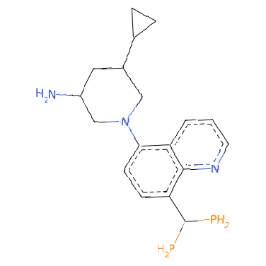 NC1CC(C2CC2)CN(c2ccc(C(P)P)c3ncccc23)C1